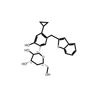 OC[C@@H]1C[C@H](O)C(O)[C@H](c2cc(Cc3cc4ccccc4s3)c(C3CC3)cc2O)O1